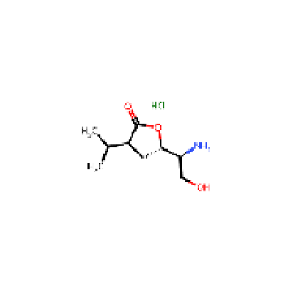 CC(C)[C@@H]1C[C@@H]([C@@H](N)CO)OC1=O.Cl